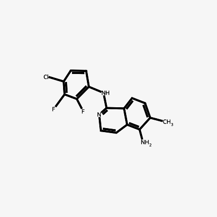 Cc1ccc2c(Nc3ccc(Cl)c(F)c3F)nccc2c1N